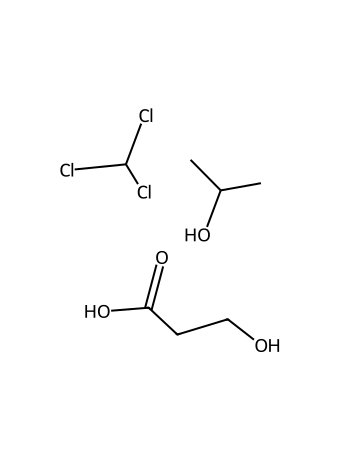 CC(C)O.ClC(Cl)Cl.O=C(O)CCO